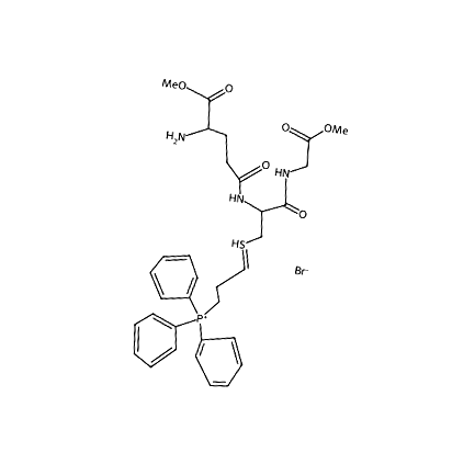 COC(=O)CNC(=O)C(C[SH]=CCC[P+](c1ccccc1)(c1ccccc1)c1ccccc1)NC(=O)CCC(N)C(=O)OC.[Br-]